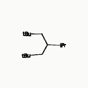 CC(C)C(CC(C)(C)C)CC(C)(C)C